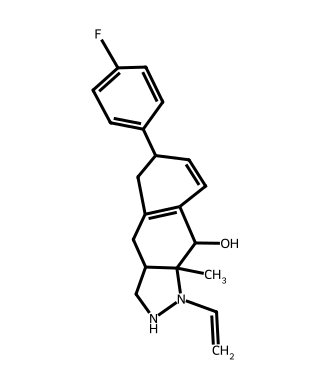 C=CN1NCC2CC3=C(C=CC(c4ccc(F)cc4)C3)C(O)C21C